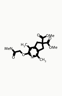 CNC(=O)COc1nc(C)c2c(c1C)CC(C(=O)OC)(C(=O)OC)C2